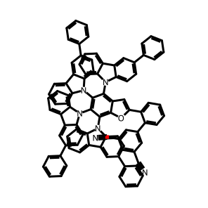 N#Cc1cc(C#N)cc(-c2ccccc2-c2cc3c(-n4c5ccccc5c5cc(-c6ccccc6)ccc54)c(-n4c5ccccc5c5cc(-c6ccccc6)ccc54)c(-n4c5ccccc5c5cc(-c6ccccc6)ccc54)c(-n4c5ccccc5c5cc(-c6ccccc6)ccc54)c3o2)c1